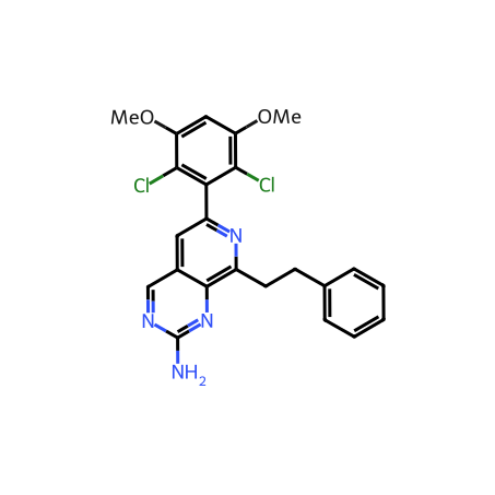 COc1cc(OC)c(Cl)c(-c2cc3cnc(N)nc3c(CCc3ccccc3)n2)c1Cl